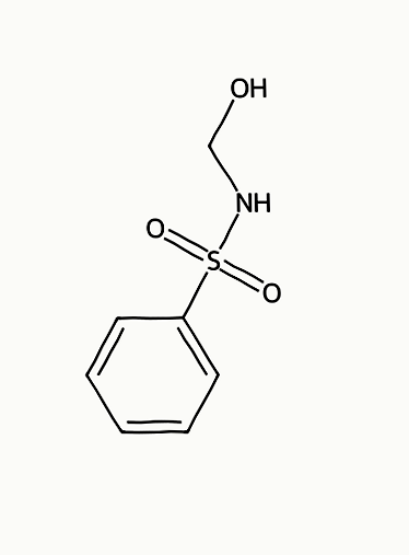 O=S(=O)(NCO)c1ccccc1